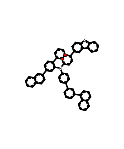 c1ccc(-c2ccc(-c3ccc4ccccc4c3)cc2N(c2ccc(-c3cccc(-c4cccc5ccccc45)c3)cc2)c2ccc(-c3ccc4sc5ccccc5c4c3)cc2)cc1